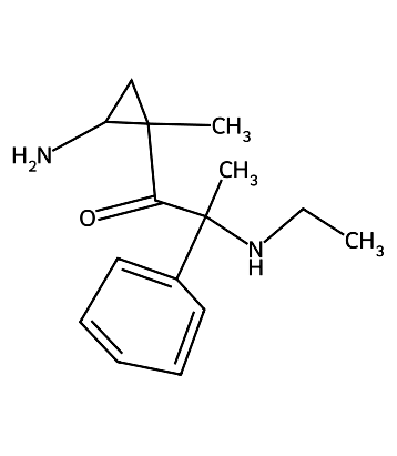 CCNC(C)(C(=O)C1(C)CC1N)c1ccccc1